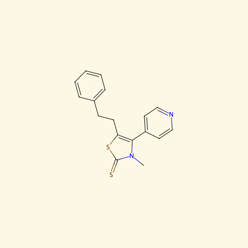 Cn1c(-c2ccncc2)c(CCc2ccccc2)sc1=S